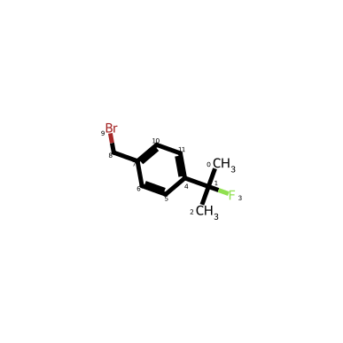 CC(C)(F)c1ccc(CBr)cc1